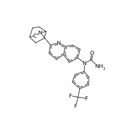 NC(=O)N(c1ccc(C(F)(F)F)cc1)c1ccc2nc(N3CC4CCC3CC4)ccc2c1